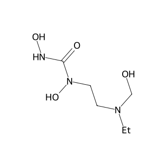 CCN(CO)CCN(O)C(=O)NO